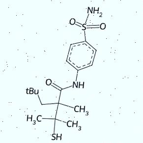 CC(C)(C)CC(C)(C(=O)Nc1ccc(S(N)(=O)=O)cc1)C(C)(C)S